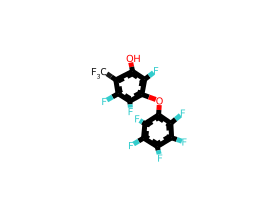 Oc1c(F)c(Oc2c(F)c(F)c(F)c(F)c2F)c(F)c(F)c1C(F)(F)F